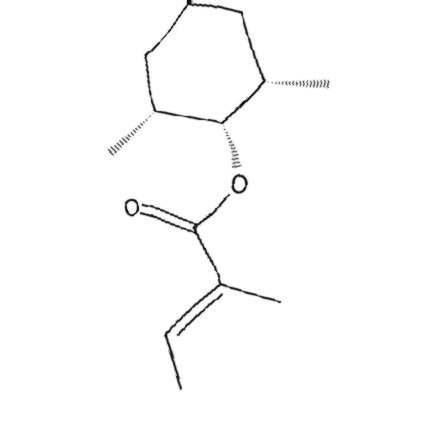 C/C=C(\C)C(=O)O[C@@H]1[C@H](C)CCC[C@@H]1C